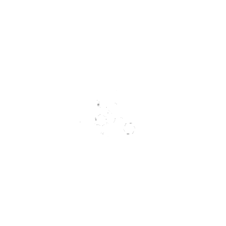 CSc1nc(N)nc([C@](N)(CN2CCOCC2)C(=O)Nc2cccc(C(F)(F)F)c2)c1C#N